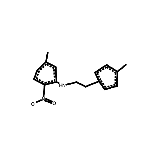 Cc1ccc(CCNc2cc(C)ccc2[N+](=O)[O-])cc1